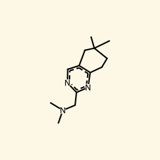 CN(C)Cc1ncc2c(n1)CCC(C)(C)C2